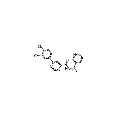 C[C@@H](NC(=O)c1cc(-c2ccc(Cl)c(Cl)c2)ncn1)c1cccnc1